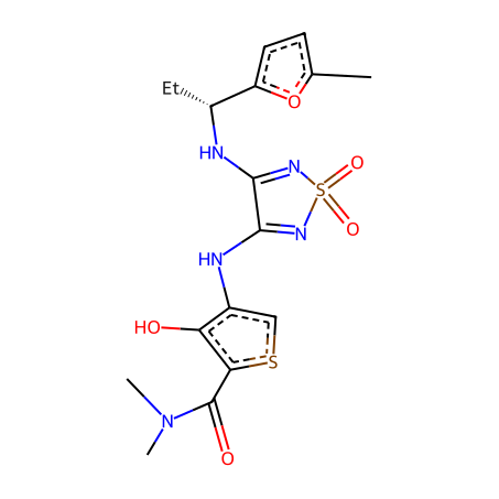 CC[C@@H](NC1=NS(=O)(=O)N=C1Nc1csc(C(=O)N(C)C)c1O)c1ccc(C)o1